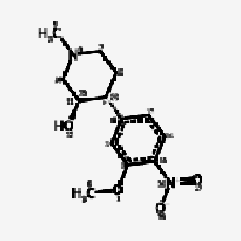 COc1cc([C@H]2CCN(C)C[C@@H]2O)ccc1[N+](=O)[O-]